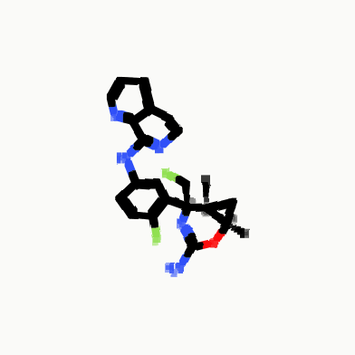 NC1=N[C@](CF)(c2cc(Nc3nccc4cccnc34)ccc2F)[C@H]2C[C@H]2O1